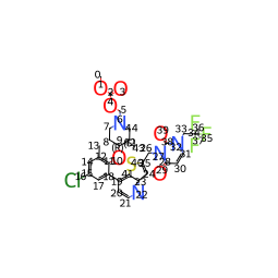 COC(=O)OCN1CC[C@@H](Oc2c(C)cc(Cl)cc2-c2ccnc3cc(Cn4c(=O)ccn(CC(F)(F)F)c4=O)sc23)[C@@H](C)C1